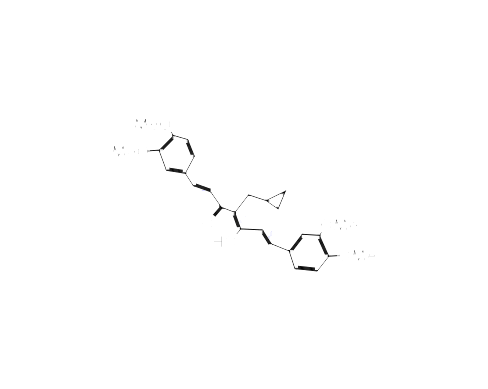 COc1ccc(/C=C/C(=O)/C(CC2CC2)=C(O)/C=C/c2ccc(OC)c(OC)c2)cc1OC